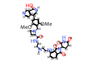 COc1cc(C2=CN(C)C(O)c3cnccc32)cc(OC)c1CN1CC[C@H]1C(=O)NCCN(C)CCNc1cccc2c1C(=O)N(C1CCC(=O)NC1=O)C2=O